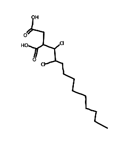 CCCCCCCCCC(Cl)C(Cl)C(CC(=O)O)C(=O)O